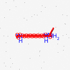 CCCCCCCCCCCC(=O)NC(CCCCNC(=O)CCOCCOCCOCCOCCOCCOCCOCCOCCOCCOCCOCCOCCNC(=O)CCN1C(=O)CC(C(C)(C)C)C1=O)C(N)=O